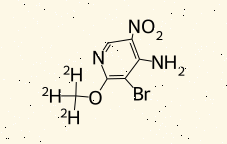 [2H]C([2H])([2H])Oc1ncc([N+](=O)[O-])c(N)c1Br